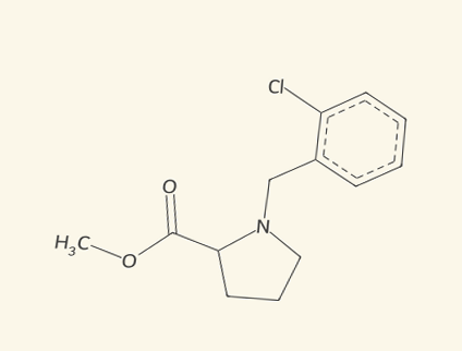 COC(=O)C1CCCN1Cc1ccccc1Cl